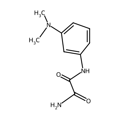 CN(C)c1cccc(NC(=O)C(N)=O)c1